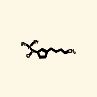 C=CCCCC1=CC(B(Cl)N(C(C)C)C(C)C)C=C1